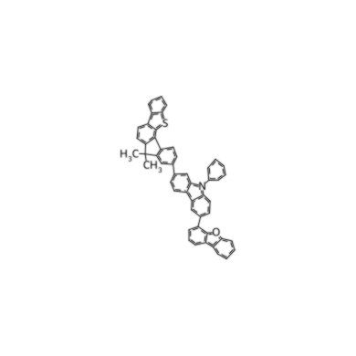 CC1(C)c2cc(-c3ccc4c5cc(-c6cccc7c6oc6ccccc67)ccc5n(-c5ccccc5)c4c3)ccc2-c2c1ccc1c2sc2ccccc21